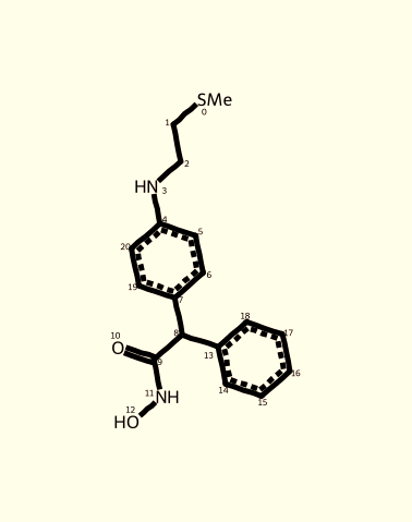 CSCCNc1ccc(C(C(=O)NO)c2ccccc2)cc1